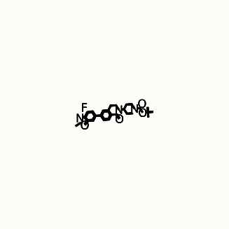 Cc1nc2c(F)cc(-c3ccc4c(c3)CCN(C3CCN(C(=O)OC(C)(C)C)CC3)C4=O)cc2o1